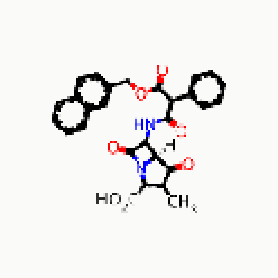 CC1C(=O)[C@@H]2C(NC(=O)C(C(=O)OCc3ccc4ccccc4c3)c3ccccc3)C(=O)N2C1C(=O)O